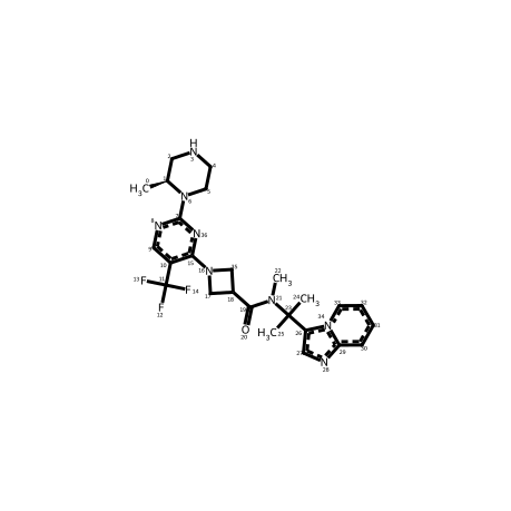 C[C@H]1CNCCN1c1ncc(C(F)(F)F)c(N2CC(C(=O)N(C)C(C)(C)c3cnc4ccccn34)C2)n1